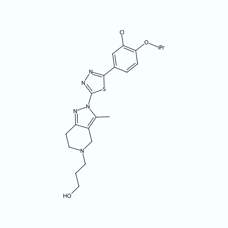 Cc1c2c(nn1-c1nnc(-c3ccc(OC(C)C)c(Cl)c3)s1)CCN(CCCO)C2